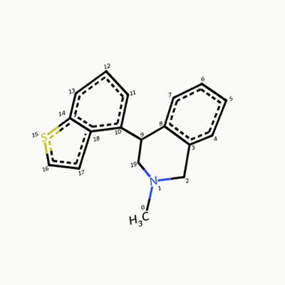 CN1Cc2ccccc2C(c2cccc3sccc23)C1